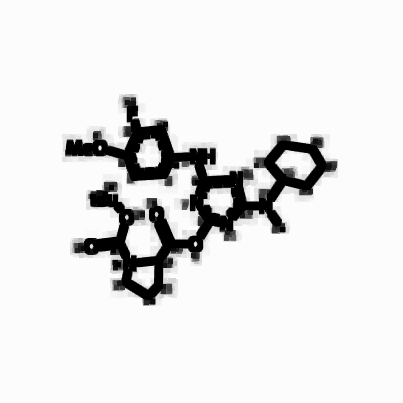 COc1ccc(Nc2nc(OC(=O)C3CCCN3C(=O)OC(C)(C)C)nc(N(C)C3CCCCC3)n2)cc1F